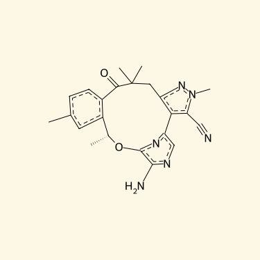 Cc1ccc2c(c1)[C@@H](C)Oc1nc(cnc1N)-c1c(nn(C)c1C#N)CC(C)(C)C2=O